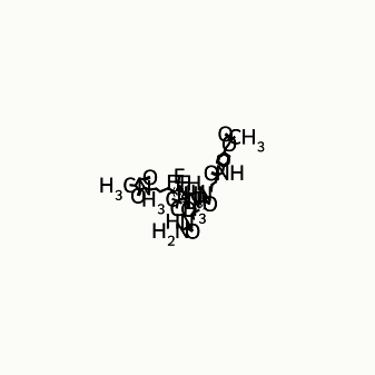 CC(=O)OCc1ccc(NC(=O)CCCNC(=O)[C@H](CCCNC(N)=O)NC(=O)[C@@H](N[C@@H](CCCCCN2C(=O)CC(C)C2=O)C(F)(F)F)C(C)C)cc1